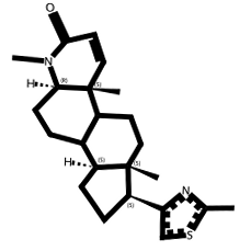 Cc1nc([C@H]2CC[C@H]3C4CC[C@H]5N(C)C(=O)C=C[C@]5(C)C4CC[C@]23C)cs1